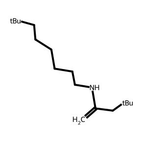 C=C(CC(C)(C)C)NCCCCCCC(C)(C)C